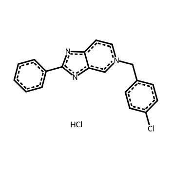 Cl.Clc1ccc(Cn2ccc3nc(-c4ccccc4)nc-3c2)cc1